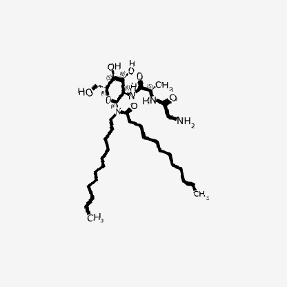 CCCCCCCCCCCCN(C(=O)CCCCCCCCCCC)[C@@H]1O[C@H](CO)[C@@H](O)[C@H](O)[C@H]1NC(=O)[C@H](C)NC(=O)CN